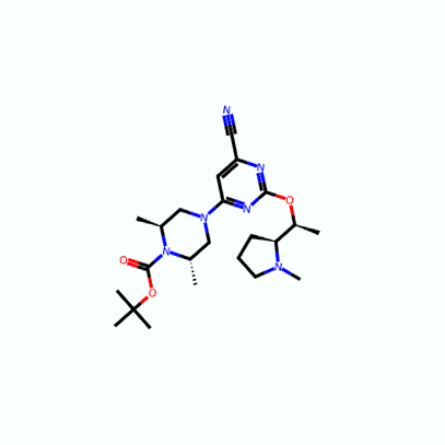 C[C@H](Oc1nc(C#N)cc(N2C[C@H](C)N(C(=O)OC(C)(C)C)[C@@H](C)C2)n1)[C@@H]1CCCN1C